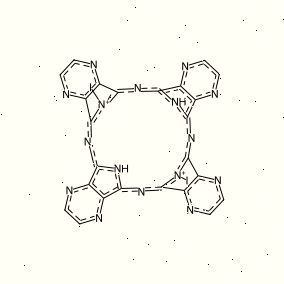 I[n+]1c2nc3[nH]c(nc4[n+](I)c(nc5[nH]c(nc1-c1nccnc1-2)c1nccnc51)-c1nccnc1-4)c1nccnc31